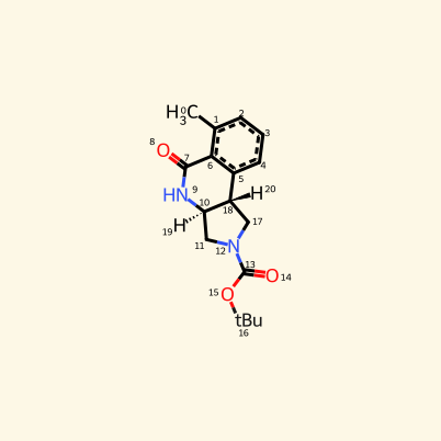 Cc1cccc2c1C(=O)N[C@@H]1CN(C(=O)OC(C)(C)C)C[C@@H]21